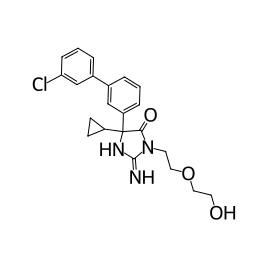 N=C1NC(c2cccc(-c3cccc(Cl)c3)c2)(C2CC2)C(=O)N1CCOCCO